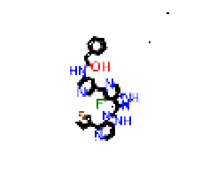 OC(Cc1ccccc1)Nc1cncc(-c2ncc3[nH]nc(-c4nc5c(-c6ccsc6)nccc5[nH]4)c3c2F)c1